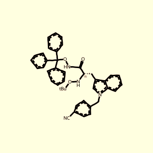 CC(C)(C)ON[C@@H](Cc1cn(Cc2ccc(C#N)cc2)c2ccccc12)C(=O)NOC(c1ccccc1)(c1ccccc1)c1ccccc1